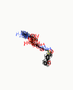 C[C@H](C(=O)SCCNC(=O)CCNC(=O)C(O)C(C)(C)COP(=O)(O)OP(=O)(O)OCC1OC(n2cnc3c(N)ncnc32)C(O)C1OP(=O)(O)O)c1cccc(C(=O)c2ccccc2)c1